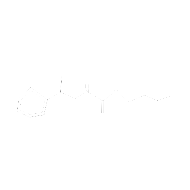 CCCCOC(=O)NCC(O)c1ccccc1